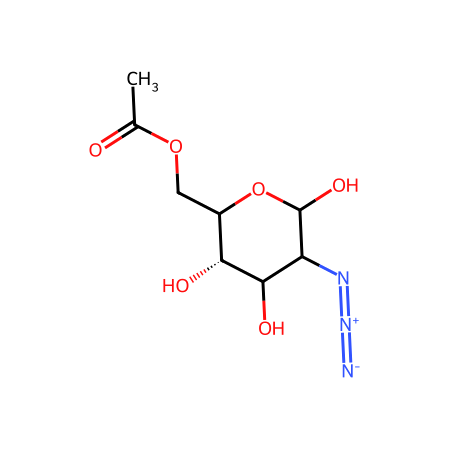 CC(=O)OCC1OC(O)C(N=[N+]=[N-])C(O)[C@@H]1O